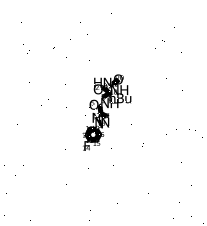 CCCC[C@]1(CNC(=O)c2cnn(-c3ccc(F)cc3)n2)NC(=O)NC1=O